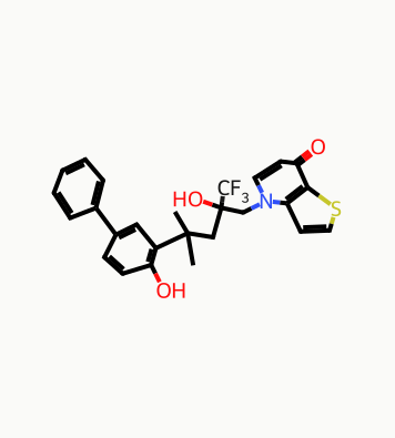 CC(C)(CC(O)(Cn1ccc(=O)c2sccc21)C(F)(F)F)c1cc(-c2ccccc2)ccc1O